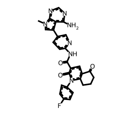 Cn1cc(-c2ccc(NC(=O)c3cc4c(n(-c5ccc(F)cc5)c3=O)CCCC4=O)nc2)c2c(N)ncnc21